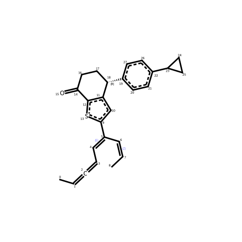 CC=C=C/C=C(\C=C/C)c1cc2c(s1)C(=O)CC[C@@H]2c1ccc(C2CC2)cc1